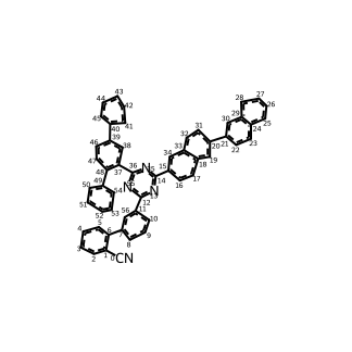 N#Cc1ccccc1-c1cccc(-c2nc(-c3ccc4cc(-c5ccc6ccccc6c5)ccc4c3)nc(-c3cc(-c4ccccc4)ccc3-c3ccccc3)n2)c1